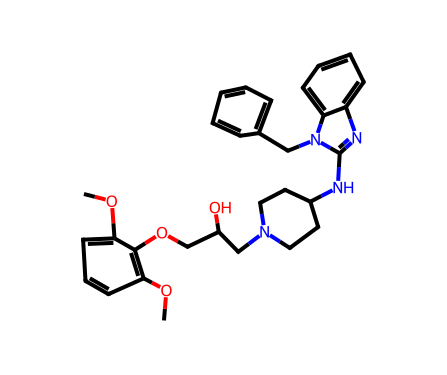 COc1cccc(OC)c1OCC(O)CN1CCC(Nc2nc3ccccc3n2Cc2ccccc2)CC1